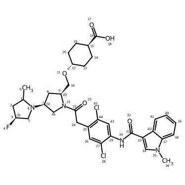 CC1C[C@H](F)CN1[C@H]1C[C@@H](CO[C@H]2CC[C@H](C(=O)O)CC2)N(C(=O)Cc2cc(Cl)c(NC(=O)c3cn(C)c4ccccc34)cc2Cl)C1